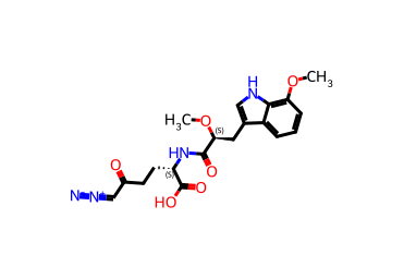 COc1cccc2c(C[C@H](OC)C(=O)N[C@@H](CCC(=O)C=[N+]=[N-])C(=O)O)c[nH]c12